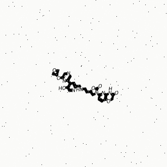 O=C1COc2ccc(N3CC(CCNCc4cc(-c5cncc(OC6COC6)n5)c(O)cn4)OC3=O)nc2N1